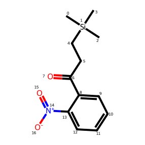 C[Si](C)(C)CCC(=O)c1ccccc1[N+](=O)[O-]